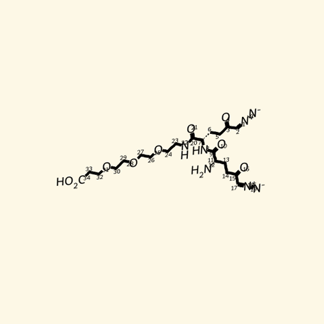 [N-]=[N+]=CC(=O)CC[C@H](NC(=O)[C@@H](N)CCC(=O)C=[N+]=[N-])C(=O)NCCOCCOCCOCCC(=O)O